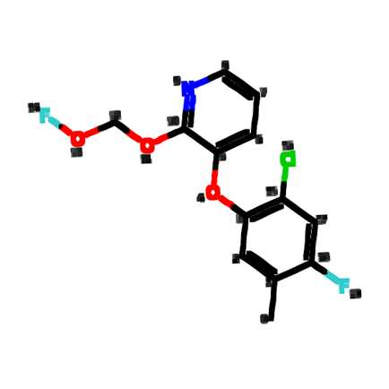 Cc1cc(Oc2cccnc2OCOF)c(Cl)cc1F